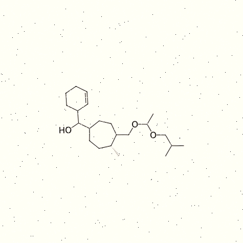 CC(C)COC(C)OCC1CCC(C(O)C2C=CCCC2)CC[C@H]1C